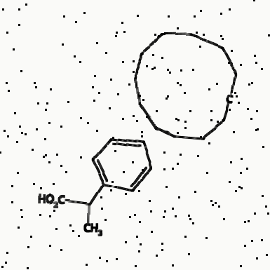 C1CCCCCCCCCCC1.CC(C(=O)O)c1ccccc1